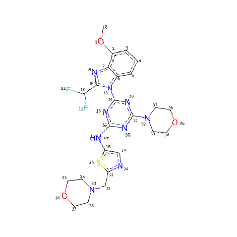 COc1cccc2c1nc(C(F)F)n2-c1nc(Nc2cnc(CN3CCOCC3)s2)nc(N2CCOCC2)n1